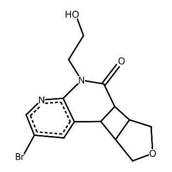 O=C1C2C3COCC3C2c2cc(Br)cnc2N1CCO